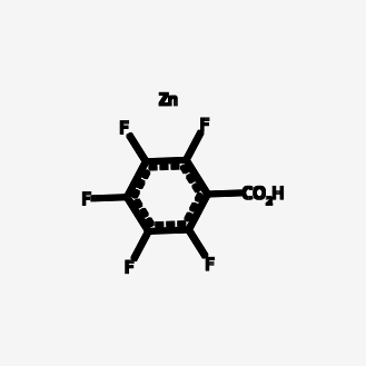 O=C(O)c1c(F)c(F)c(F)c(F)c1F.[Zn]